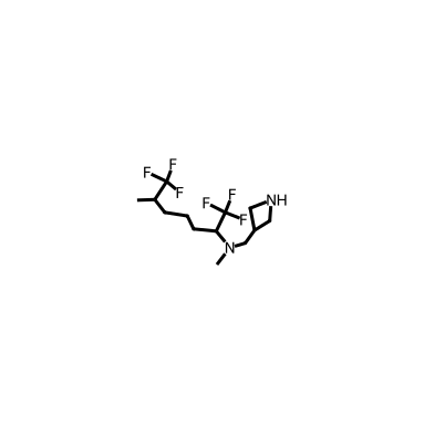 CC(CCCC(N(C)CC1CNC1)C(F)(F)F)C(F)(F)F